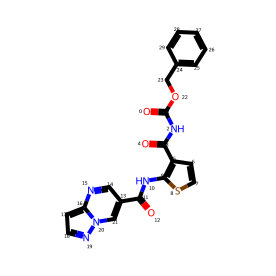 O=C(NC(=O)c1ccsc1NC(=O)c1cnc2ccnn2c1)OCc1ccccc1